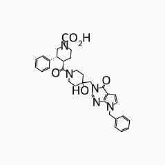 O=C(O)N1CC[C@@H](C(=O)N2CCC(O)(Cn3cnc4c(ccn4Cc4ccccc4)c3=O)CC2)[C@H](c2ccccc2)C1